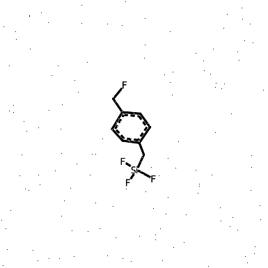 FCc1ccc(C[Si](F)(F)F)cc1